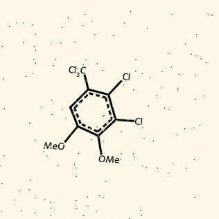 COc1cc(C(Cl)(Cl)Cl)c(Cl)c(Cl)c1OC